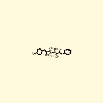 OC(=Cc1ccccc1)[C@@H](O)[C@@H](O)[C@H](O)[C@@H](O)C(O)=Cc1ccc(Cl)cc1